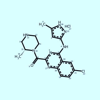 Cc1cc(Nc2nc(C(=O)N3CCNC[C@H]3C)nc3ccc(Cl)cc23)n[nH]1.Cl